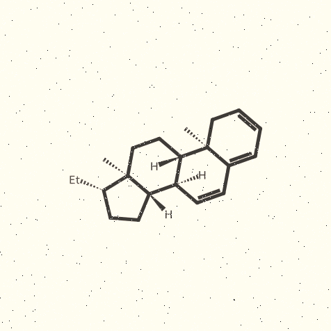 CC[C@H]1CC[C@H]2[C@@H]3C=CC4=CC=CC[C@]4(C)[C@H]3CC[C@]12C